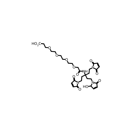 O=C(O)CCOCCOCCOCCOCC(=O)NC(CCN1C(=O)C=CC1=O)(CCN1C(=O)C=CC1=O)CCN1C(=O)C=CC1O